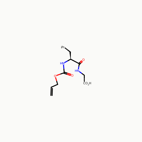 C=CCOC(=O)N[C@@H](CC(C)C)C(=O)NCC(=O)O